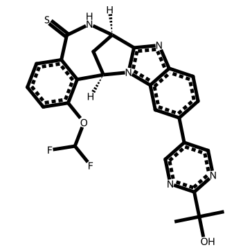 CC(C)(O)c1ncc(-c2ccc3nc4n(c3c2)[C@@H]2C[C@H]4NC(=S)c3cccc(OC(F)F)c32)cn1